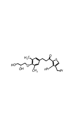 CCCc1c(CC(C)C)csc1C(=O)CCc1cc(C)c(OC[C@H](O)CO)c(C)c1